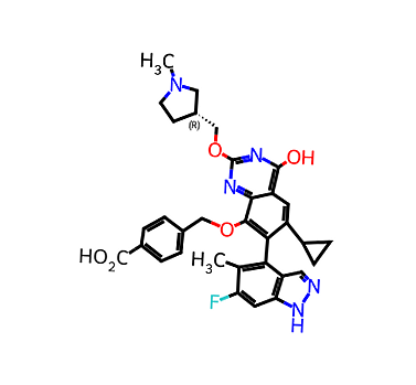 Cc1c(F)cc2[nH]ncc2c1-c1c(C2CC2)cc2c(O)nc(OC[C@@H]3CCN(C)C3)nc2c1OCc1ccc(C(=O)O)cc1